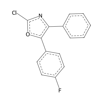 Fc1ccc(-c2oc(Cl)nc2-c2ccccc2)cc1